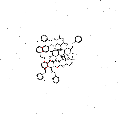 CC(=O)NC1[C@H](C)OC2COC(C)(C)O[C@H]2[C@@H]1O[C@@H]1OC(C)[C@H](OCc2ccccc2)[C@H](O[C@@H]2OC(C)[C@H](OCc3ccccc3)[C@H](OCc3ccccc3)C2O[C@@H]2OC(C)[C@H](OCc3ccccc3)[C@H](O[C@H]3O[C@@H](COCc4ccccc4)[C@@H](OCc4ccccc4)C(OCc4ccccc4)C3C)C2O)C1OC(C)=O